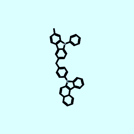 Cc1ccc2c3cc(Cc4ccc(-n5c6c(c7ccccc75)C5C=CC=CC5C=C6)cc4)ccc3n(-c3ccccc3)c2c1